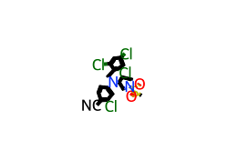 CS(=O)(=O)N1CCC(N(Cc2c(Cl)cc(Cl)cc2Cl)c2ccc(C#N)c(Cl)c2)C1